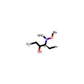 CC(C)C[C@@H](C(O)C[N+](=O)[O-])N(C=O)OC(C)(C)C